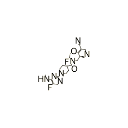 CNc1nc(N2CCC(F)(C(=O)N3CCOc4c(C#N)cncc4C3)CC2)ncc1F